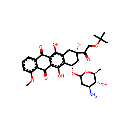 COc1cccc2c1C(=O)c1c(O)c3c(c(O)c1C2=O)C[C@@](O)(C(=O)COC(C)(C)C)C[C@@H]3OC1C[C@H](N)[C@@H](O)[C@H](C)O1